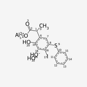 CC(C(=O)[O][Al+2])c1cc(Sc2ccccc2)c(I)cc1O.[OH-].[OH-]